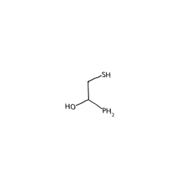 OC(P)CS